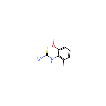 COc1cccc(C)c1NC(N)=S